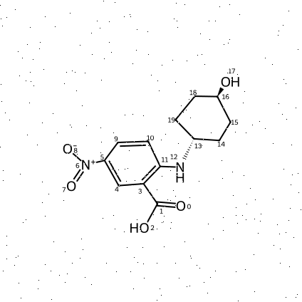 O=C(O)c1cc([N+](=O)[O-])ccc1N[C@H]1CC[C@H](O)CC1